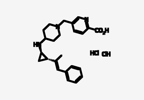 C/C(=C\c1ccccc1)[C@@H]1C[C@H]1NC1CCN(Cc2ccc(C(=O)O)nc2)CC1.Cl.Cl